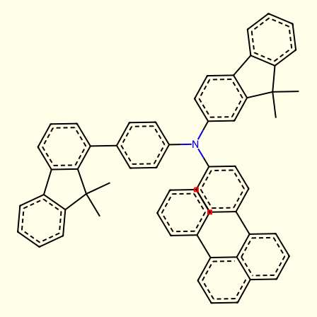 CC1(C)c2ccccc2-c2ccc(N(c3ccc(-c4cccc5c4C(C)(C)c4ccccc4-5)cc3)c3ccc(-c4cccc5cccc(-c6ccccc6)c45)cc3)cc21